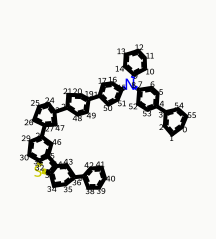 c1ccc(-c2ccc(N(c3ccccc3)c3ccc(-c4ccc(-c5cccc(-c6ccc7sc8ccc(-c9ccccc9)cc8c7c6)c5)cc4)cc3)cc2)cc1